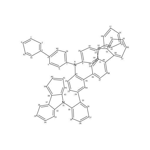 c1ccc(-c2ccc(N(c3ccc(-c4ccccc4)cc3)c3ccc(-c4ccccc4-n4c5ccccc5c5ccccc54)cc3-c3ccc4c(c3)oc3ccccc34)cc2)cc1